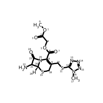 COC(=O)COC(=O)C1=C(CSc2nnnn2C)CS[C@@H]2C(N)C(=O)N12